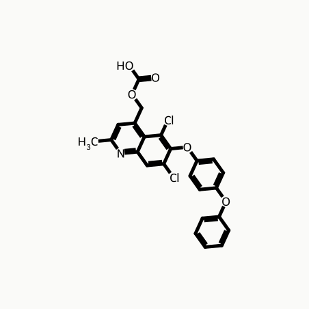 Cc1cc(COC(=O)O)c2c(Cl)c(Oc3ccc(Oc4ccccc4)cc3)c(Cl)cc2n1